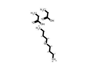 CCC(=O)O.CCC(=O)O.CCC[CH2][Sn][CH2]CCC